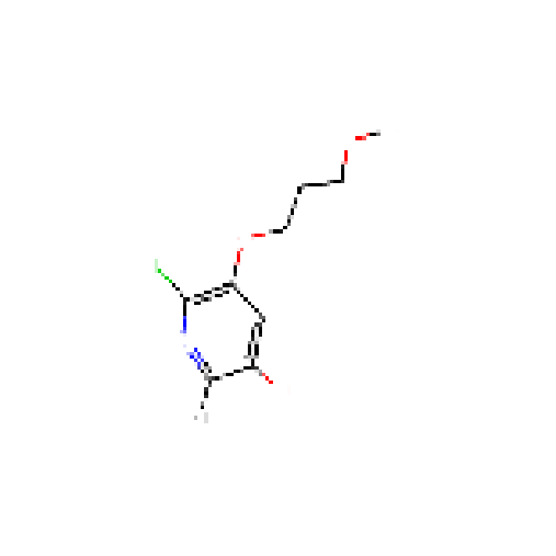 COCCCOc1cc(O)c(C)nc1Cl